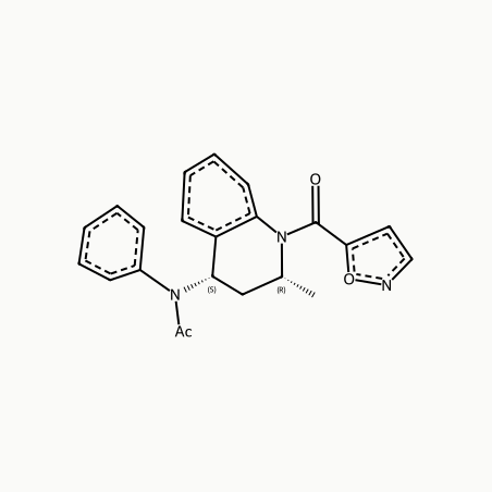 CC(=O)N(c1ccccc1)[C@H]1C[C@@H](C)N(C(=O)c2ccno2)c2ccccc21